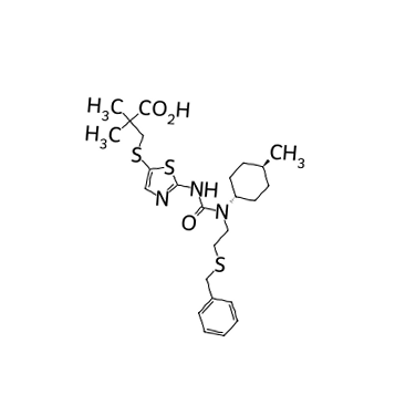 CC(C)(CSc1cnc(NC(=O)N(CCSCc2ccccc2)[C@H]2CC[C@H](C)CC2)s1)C(=O)O